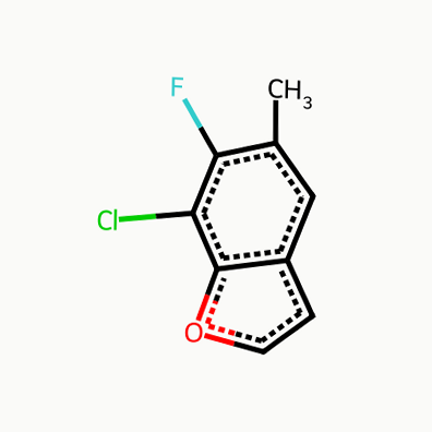 Cc1cc2ccoc2c(Cl)c1F